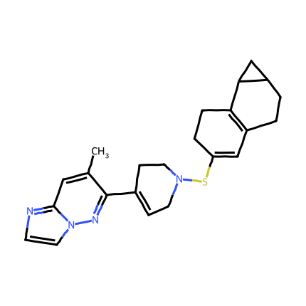 Cc1cc2nccn2nc1C1=CCN(SC2=CC3=C(CC2)C2CC2CC3)CC1